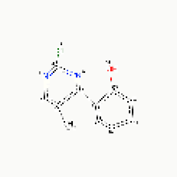 Cc1cnc(Cl)nc1-c1ccccc1O